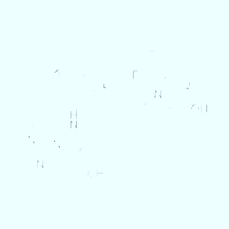 CCCC(CCO)Nc1nc(N)nc(C)c1Cc1ccc(OCCCN(CC(=O)O)CC(F)F)cc1OC